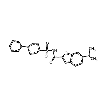 CN(C)c1ccc2cc(C(=O)NS(=O)(=O)c3ccc(-c4ccccc4)cc3)oc2c1